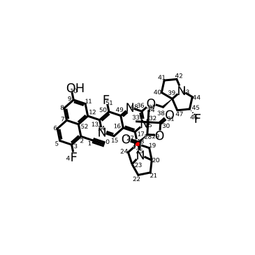 C#Cc1c(F)ccc2cc(O)cc(-c3ncc4c(N5CC6CCC(C5)N6C(=O)[C@@H]5OC(=O)C5(C)C)nc(OC[C@@]56CCCN5C[C@H](F)C6)nc4c3F)c12